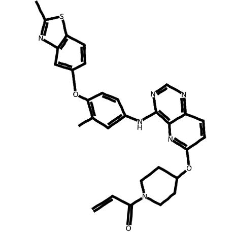 C=CC(=O)N1CCC(Oc2ccc3ncnc(Nc4ccc(Oc5ccc6sc(C)nc6c5)c(C)c4)c3n2)CC1